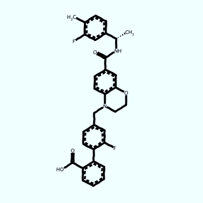 Cc1ccc([C@H](C)NC(=O)c2ccc3c(c2)OCCN3Cc2ccc(-c3ccccc3C(=O)O)c(F)c2)cc1F